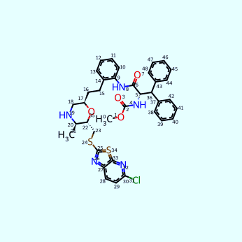 COC(=O)N[C@H](C(=O)Nc1ccccc1CC[C@@H]1CN[C@H](C)[C@@H](CSc2nc3ccc(Cl)nc3s2)O1)C(c1ccccc1)c1ccccc1